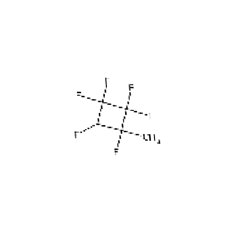 CC1(F)C(F)C(F)(F)C1(F)F